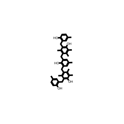 Cc1ccc(O)c(Cc2c(C)c(Cc3cc(C)cc(Cc4c(C)c(C)c(O)c(Cc5cc(C)ccc5O)c4C)c3O)c(C)c(C)c2O)c1